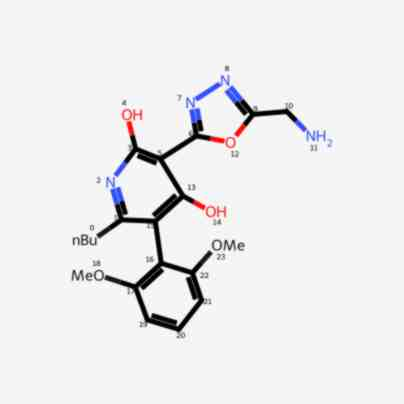 CCCCc1nc(O)c(-c2nnc(CN)o2)c(O)c1-c1c(OC)cccc1OC